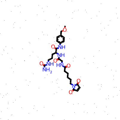 COCc1ccc(NC(=O)C(CCCNC(N)=O)NC(=O)CNC(=O)CCCCCN2C(=O)C=CC2=O)cc1